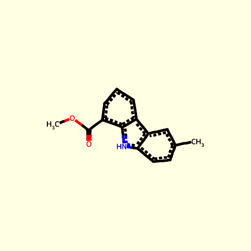 COC(=O)c1cccc2c1[nH]c1ccc(C)cc12